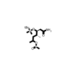 CC(C[C@@H](C)[C@H](CC(N)=O)O[Si](C)(C)C(C)(C)C)OS(C)=O